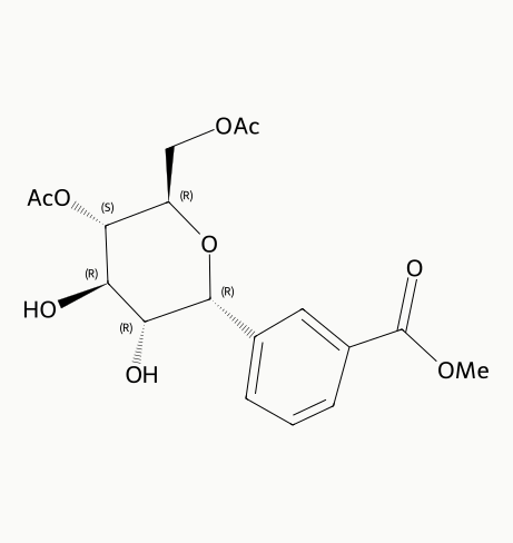 COC(=O)c1cccc([C@H]2O[C@H](COC(C)=O)[C@@H](OC(C)=O)[C@H](O)[C@H]2O)c1